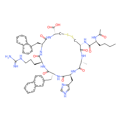 CCCC[C@H](NC(C)=O)C(=O)N[C@H]1CSSC[C@@H](C(=O)O)NC(=O)[C@H](Cc2cccc3ccccc23)NC(=O)[C@H](CCCNC(=N)N)NC(=O)[C@@H](Cc2ccc3ccccc3c2)NC(=O)[C@H](Cc2c[nH]cn2)NC(=O)[C@@H](C)NC1=O